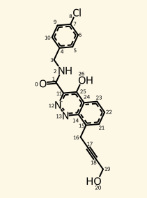 O=C(NCc1ccc(Cl)cc1)c1nnc2c(CC#CCO)cccc2c1O